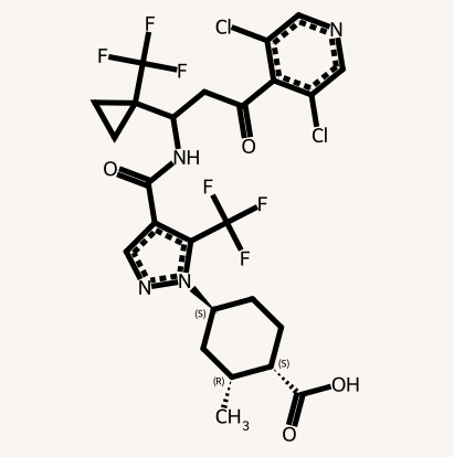 C[C@@H]1C[C@@H](n2ncc(C(=O)NC(CC(=O)c3c(Cl)cncc3Cl)C3(C(F)(F)F)CC3)c2C(F)(F)F)CC[C@@H]1C(=O)O